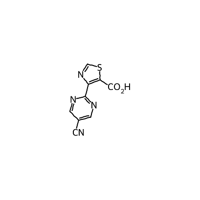 N#Cc1cnc(-c2ncsc2C(=O)O)nc1